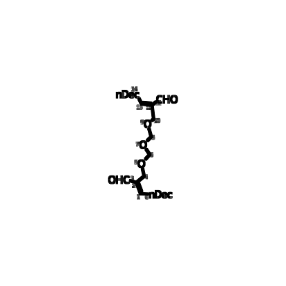 CCCCCCCCCCC=C(C=O)COCOCOCC(C=O)=CCCCCCCCCCC